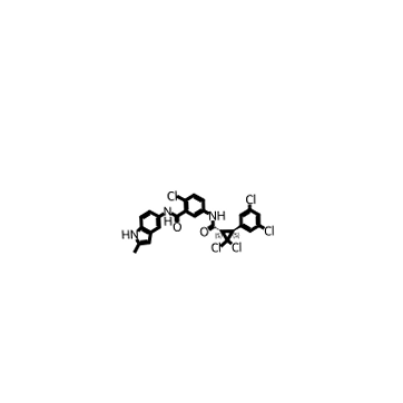 Cc1cc2cc(NC(=O)c3cc(NC(=O)[C@@H]4[C@@H](c5cc(Cl)cc(Cl)c5)C4(Cl)Cl)ccc3Cl)ccc2[nH]1